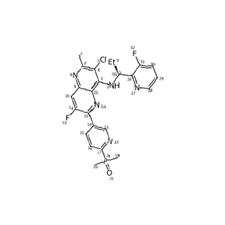 CC[C@H](Nc1c(Cl)c(C)nc2cc(F)c(-c3ccc(P(C)(C)=O)nc3)nc12)c1ncccc1F